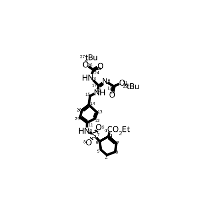 CCOC(=O)C1=CCCCC1S(=O)(=O)Nc1ccc(CN/C(=N\C(=O)OC(C)(C)C)NC(=O)OC(C)(C)C)cc1